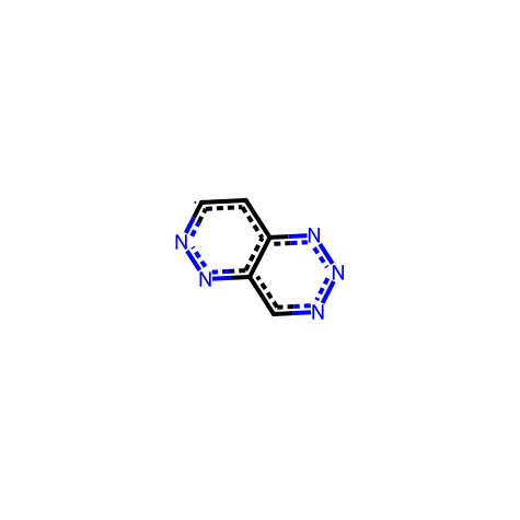 [c]1cc2nnncc2nn1